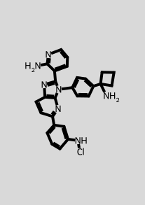 Nc1ncccc1-c1nc2ccc(-c3cccc(NCl)c3)nc2n1-c1ccc(C2(N)CCC2)cc1